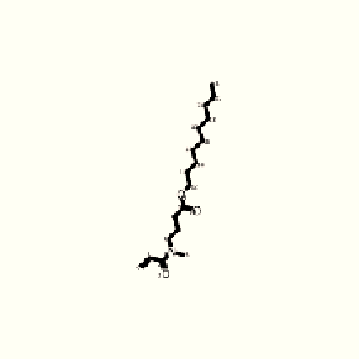 C=CC(=O)N(C)CCCC(=O)OCCCCCCCCCC